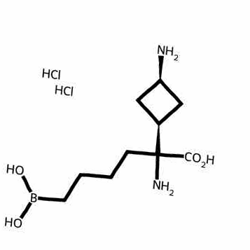 Cl.Cl.NC(CCCCB(O)O)(C(=O)O)[C@H]1C[C@@H](N)C1